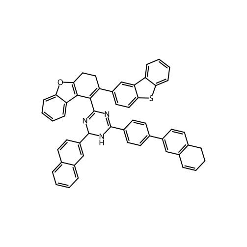 C1=Cc2cc(-c3ccc(C4=NC(C5=C(c6ccc7sc8ccccc8c7c6)CCc6oc7ccccc7c65)=NC(c5ccc6ccccc6c5)N4)cc3)ccc2CC1